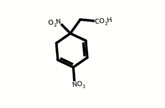 O=C(O)CC1([N+](=O)[O-])C=CC([N+](=O)[O-])=CC1